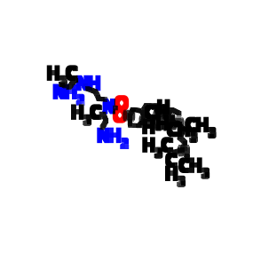 CC[C@H](CC[C@@H](C)[C@H]1CC[C@H]2[C@@H]3CC=C4C[C@@H](OC(=O)N(CCCCNC(C)CCN)C(C)CCN)CC[C@]4(C)[C@H]3CC[C@]12C)C(C)C